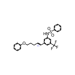 O=S(=O)(Nc1cc(/C=C/CCCOc2[c]cccc2)cc(C(F)(F)F)c1)c1ccccc1